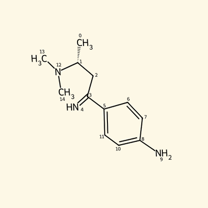 C[C@H](CC(=N)c1ccc(N)cc1)N(C)C